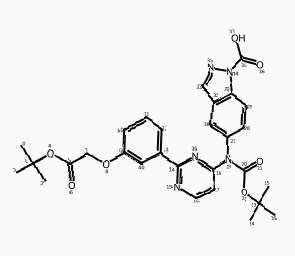 CC(C)(C)OC(=O)COc1cccc(-c2nccc(N(C(=O)OC(C)(C)C)c3ccc4c(cnn4C(=O)O)c3)n2)c1